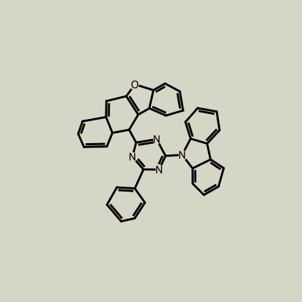 C1=CC2=Cc3oc4ccccc4c3C(c3nc(-c4ccccc4)nc(-n4c5ccccc5c5ccccc54)n3)C2C=C1